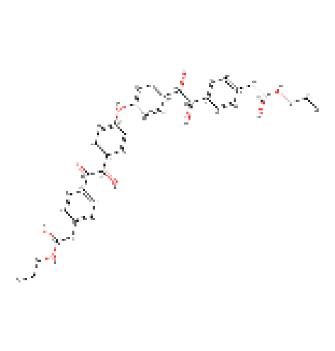 CCCOC(=O)Cc1ccc(C(=O)C(=O)c2ccc(Oc3ccc(C(=O)C(=O)c4ccc(CC(=O)OCCC)cc4)cc3)cc2)cc1